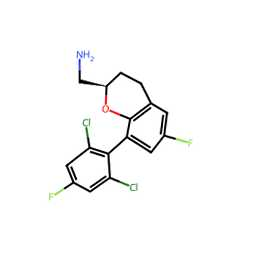 NC[C@H]1CCc2cc(F)cc(-c3c(Cl)cc(F)cc3Cl)c2O1